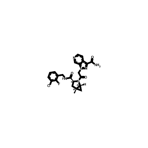 C[C@@]12C[C@@H](C(=O)NCc3cccc(Cl)c3F)N(C(=O)Cn3nc(C(N)=O)c4ccncc43)[C@@H]1C2